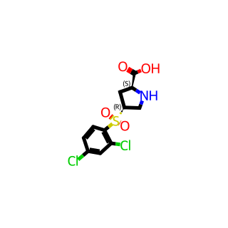 O=C(O)[C@@H]1C[C@@H](S(=O)(=O)c2ccc(Cl)cc2Cl)CN1